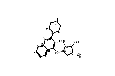 O[C@@H]1[C@@H](O)[C@@H](Oc2nc(N3CCNCC3)nc3ccccc23)C[C@H]1O